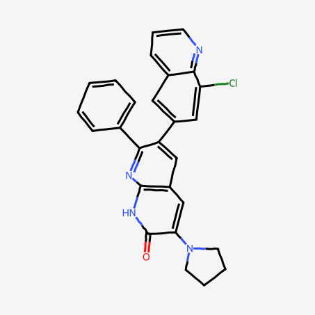 O=c1[nH]c2nc(-c3ccccc3)c(-c3cc(Cl)c4ncccc4c3)cc2cc1N1CCCC1